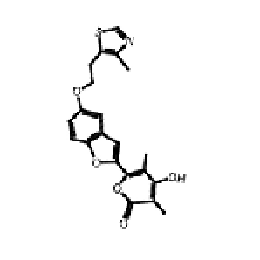 Cc1ncsc1CCOc1ccc2oc(-c3oc(=O)c(C)c(O)c3C)cc2c1